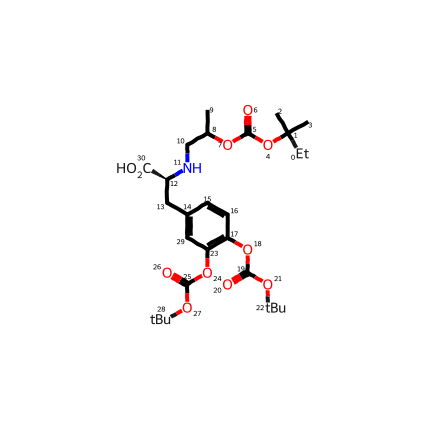 CCC(C)(C)OC(=O)OC(C)CN[C@@H](Cc1ccc(OC(=O)OC(C)(C)C)c(OC(=O)OC(C)(C)C)c1)C(=O)O